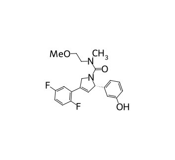 COCCN(C)C(=O)N1CC(c2cc(F)ccc2F)=C[C@H]1c1cccc(O)c1